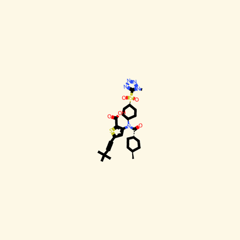 Cn1nnnc1S(=O)(=O)[C@H]1CC[C@H](N(c2cc(C#CC(C)(C)C)sc2C(=O)O)C(=O)[C@H]2CC[C@H](C)CC2)CC1